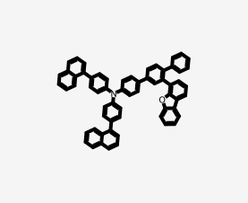 c1ccc(-c2ccc(-c3ccc(N(c4ccc(-c5cccc6ccccc56)cc4)c4ccc(-c5cccc6ccccc56)cc4)cc3)cc2-c2cccc3c2oc2ccccc23)cc1